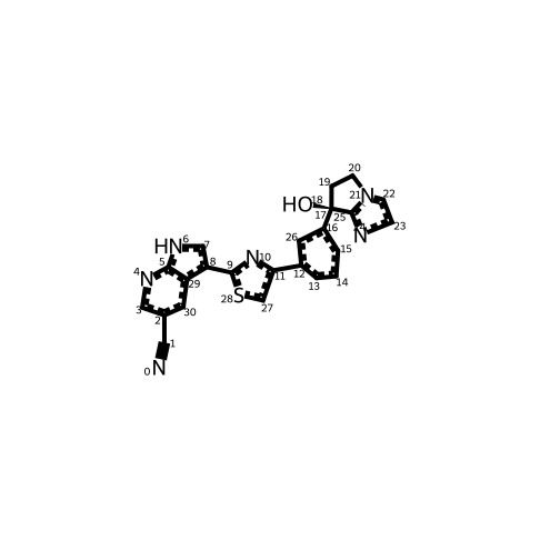 N#Cc1cnc2[nH]cc(-c3nc(-c4cccc([C@]5(O)CCn6ccnc65)c4)cs3)c2c1